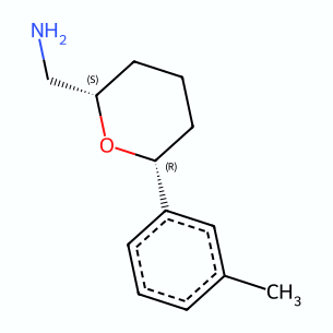 Cc1cccc([C@H]2CCC[C@@H](CN)O2)c1